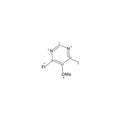 CCc1ncnc(C)c1OC